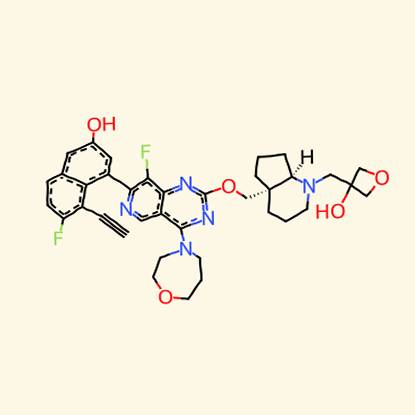 C#Cc1c(F)ccc2cc(O)cc(-c3ncc4c(N5CCCOCC5)nc(OC[C@]56CCC[C@H]5N(CC5(O)COC5)CCC6)nc4c3F)c12